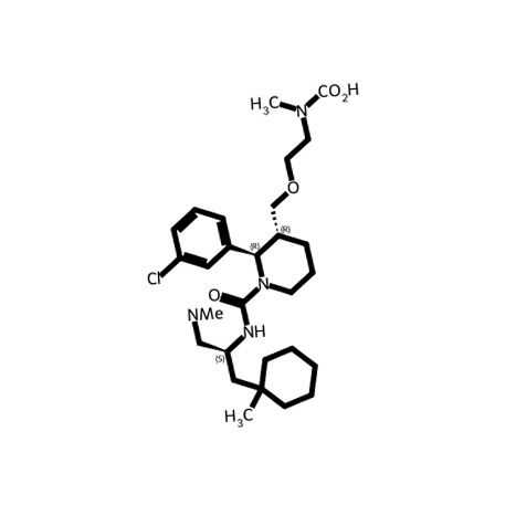 CNC[C@H](CC1(C)CCCCC1)NC(=O)N1CCC[C@@H](COCCN(C)C(=O)O)[C@@H]1c1cccc(Cl)c1